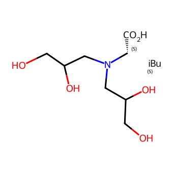 CC[C@H](C)[C@@H](C(=O)O)N(CC(O)CO)CC(O)CO